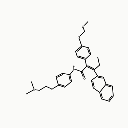 CC/C(=C(/C(=O)Nc1ccc(OCCN(C)C)cc1)c1ccc(OCOC)cc1)c1ccc2ccccc2c1